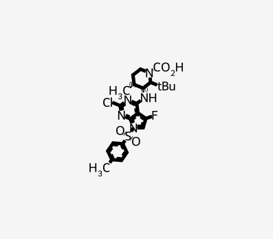 Cc1ccc(S(=O)(=O)n2cc(F)c3c(N[C@H]4C(C(C)(C)C)N(C(=O)O)CC[C@H]4C)nc(Cl)nc32)cc1